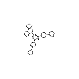 c1ccc(-c2ccc(-c3nc(-c4ccc(-c5ccccc5)cc4)nc(-c4cc5ccccc5c5ccccc45)n3)cc2)cc1